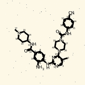 Cc1cnc(Nc2ccc(C(=O)NC3CCN(C)CC3)cc2N)nc1N1CCN(C(=O)Nc2ccc(C#N)cc2)CC1